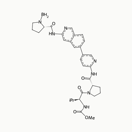 BN1CCC[C@H]1C(=O)Nc1cc2cc(-c3ccc(NC(=O)[C@@H]4CCCN4C(=O)[C@@H](NC(=O)OC)C(C)C)nc3)ccc2cn1